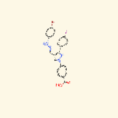 O=C(O)c1ccc(-n2cc(/C=N/Nc3ccc(Br)cc3)c(-c3ccc(I)cc3)n2)cc1